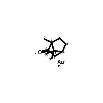 CC12CCC(CC1=O)C2(C)C.[Au]